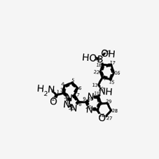 NC(=O)c1cccc2c(-c3nc(NCc4cccc(B(O)O)c4)c4c(n3)OCCC4)nnn12